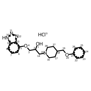 Cl.OC(COc1cccc2[nH]nnc12)CN1CCC(COc2ccccc2)CC1